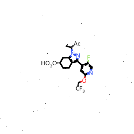 CC(=O)C(C)n1nc(-c2cc(OCC(F)(F)F)ncc2F)c2c1C[C@H](C(=O)O)CC2